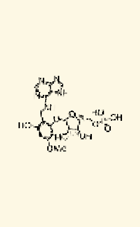 COc1cc(O)c(CNc2ncnc3nc[nH]c23)c(OC2O[C@H](COP(=O)(O)O)[C@@H](O)[C@H]2O)c1